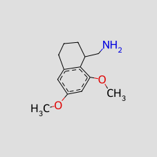 COc1cc2c(c(OC)c1)C(CN)CCC2